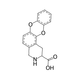 O=C(O)C1Cc2c(ccc3c2Oc2ccccc2O3)CN1